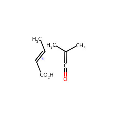 C/C=C/C(=O)O.CC(C)=C=O